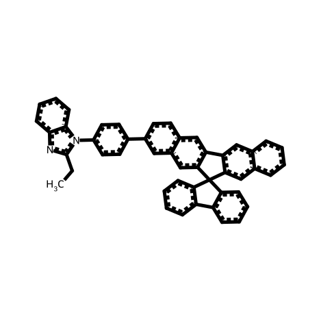 CCc1nc2ccccc2n1-c1ccc(-c2ccc3cc4c(cc3c2)C2(c3ccccc3-c3ccccc32)c2cc3ccccc3cc2-4)cc1